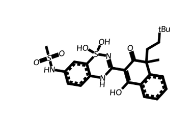 CC(C)(C)CCC1(C)C(=O)C(C2=NS(O)(O)c3cc(NS(C)(=O)=O)ccc3N2)=C(O)c2ccccc21